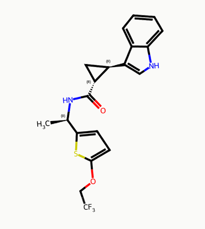 C[C@@H](NC(=O)[C@@H]1C[C@H]1c1c[nH]c2ccccc12)c1ccc(OCC(F)(F)F)s1